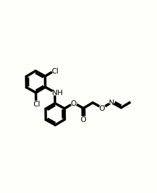 CC=NOCC(=O)Oc1ccccc1Nc1c(Cl)cccc1Cl